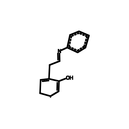 OC1=C[CH]CC=C1CC=Nc1ccccc1